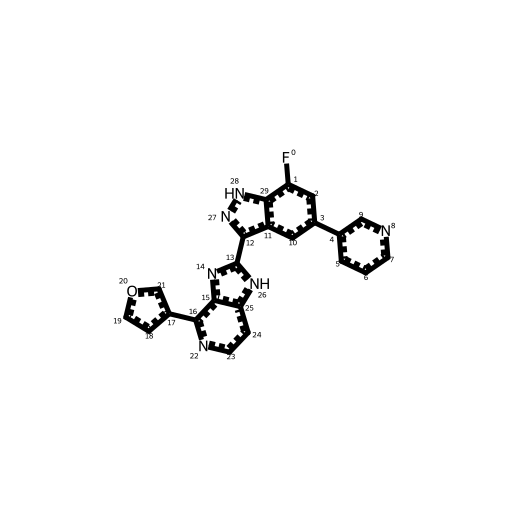 Fc1cc(-c2cccnc2)cc2c(-c3nc4c(-c5ccoc5)nccc4[nH]3)n[nH]c12